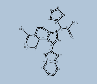 COc1c(C(=O)O)ccc2c1c(-c1cc3ccccc3s1)nn2C(C(N)=O)c1cccs1